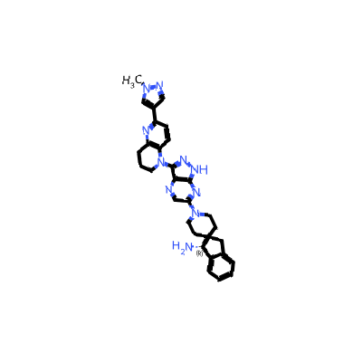 Cn1cc(-c2ccc3c(n2)CCCN3c2n[nH]c3nc(N4CCC5(CC4)Cc4ccccc4[C@@H]5N)cnc23)cn1